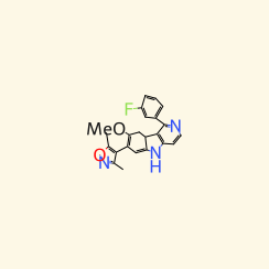 COC1=C(c2c(C)noc2C)C=C2Nc3ccnc(-c4cccc(F)c4)c3C2C1